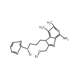 CCOCc1nc2c(N)nc(C)c(C)c2n1CCC[S+]([O-])c1ncccn1